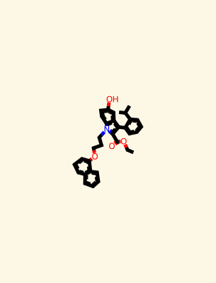 CCOC(=O)c1c(-c2ccccc2C(C)C)c2cc(O)ccc2n1CCCOc1cccc2ccccc12